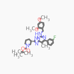 COc1ccc(CNc2nc(-c3cccc(F)c3)c(C)c3nc([C@@H]4CCCN(C(=O)OC(C)(C)C)C4)nn23)c(OC)c1